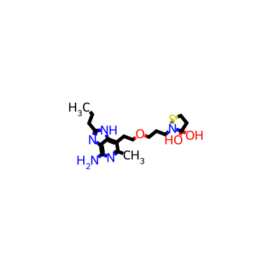 CCCc1nc2c(N)nc(C)c(CCOCCCN3SCCC3(O)O)c2[nH]1